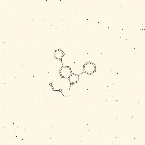 CCOC=O.Cn1cc(-c2ccccc2)c2cc(-n3cccc3)ccc21